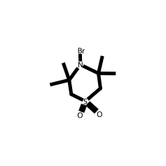 CC1(C)CS(=O)(=O)CC(C)(C)N1Br